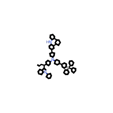 C=CCC(c1ccc(N(c2ccc(-c3ccc([Si](c4ccccc4)(c4ccccc4)c4ccccc4)cc3)cc2)c2ccc(-c3ccc4c(c3)-c3cccc(c3)-c3ccccc3N4)cc2)cc1)c1cn(-c2ccccc2)c2ccccc12